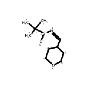 CC(C)(C)[S+]([O-])/N=C\C1CCOCC1